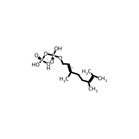 CC(C)=C(C)CC/C(C)=C/COP(=O)(O)OP(=O)(O)O